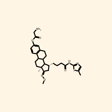 CO/N=C1\C[C@@H](CCCC(=O)Nc2ncc(C)s2)C2C3CCc4cc(OC(=O)CN)ccc4C3CC[C@]12C